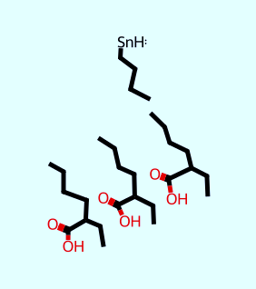 CCCCC(CC)C(=O)O.CCCCC(CC)C(=O)O.CCCCC(CC)C(=O)O.CCC[CH2][SnH]